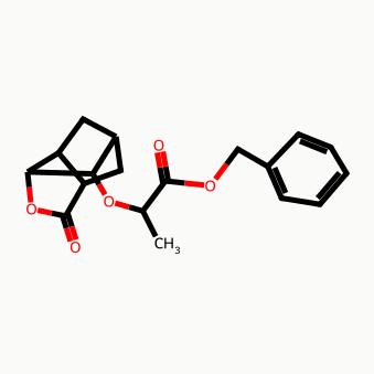 CC(OC1C2CC3C(=O)OC1C3C2)C(=O)OCc1ccccc1